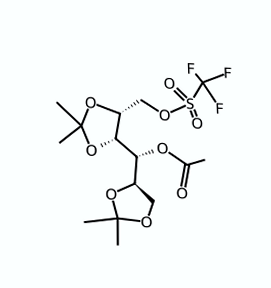 CC(=O)O[C@@H]([C@@H]1OC(C)(C)O[C@@H]1COS(=O)(=O)C(F)(F)F)[C@H]1COC(C)(C)O1